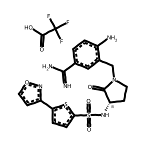 N=C(N)c1ccc(N)c(CN2CC[C@H](NS(=O)(=O)c3ccc(-c4ccon4)s3)C2=O)c1.O=C(O)C(F)(F)F